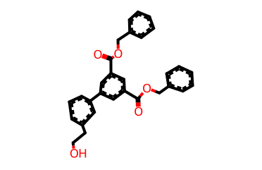 O=C(OCc1ccccc1)c1cc(C(=O)OCc2ccccc2)cc(-c2cccc(CCO)c2)c1